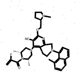 C=C(F)C(=O)N1[C@H](C)CN(c2c(C#N)c(OCC3CCCN3C)nc3c2CCN(c2cccc4cccc(C)c24)C3)C[C@@H]1C